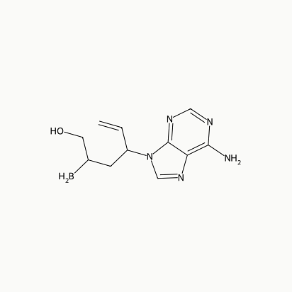 BC(CO)CC(C=C)n1cnc2c(N)ncnc21